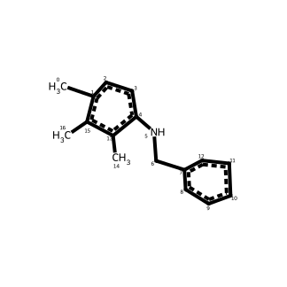 Cc1ccc(NCc2ccccc2)c(C)c1C